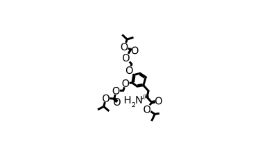 CC(C)OC(=O)OCOc1ccc(C[C@@H](N)C(=O)OC(C)C)cc1OCOC(=O)OC(C)C